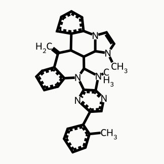 C=C1c2ccccc2N2c3nc(-c4ccccc4C)cnc3N(C)C2C2C1c1ccccc1N1C=CN(C)C21